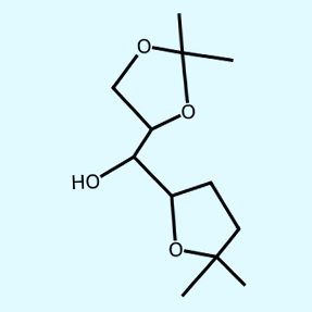 CC1(C)CCC(C(O)C2COC(C)(C)O2)O1